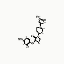 CC(C)N1C=C(N2CCC(N3CCC(Oc4ccc(C#N)cc4F)C3=O)CC2)SN1